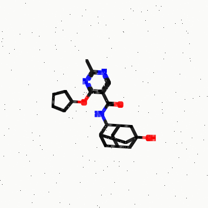 Cc1ncc(C(=O)NC2C3CC4CC2CC(O)(C4)C3)c(OC2CCCC2)n1